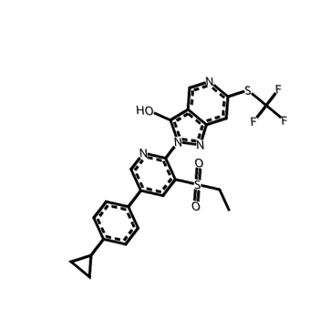 CCS(=O)(=O)c1cc(-c2ccc(C3CC3)cc2)cnc1-n1nc2cc(SC(F)(F)F)ncc2c1O